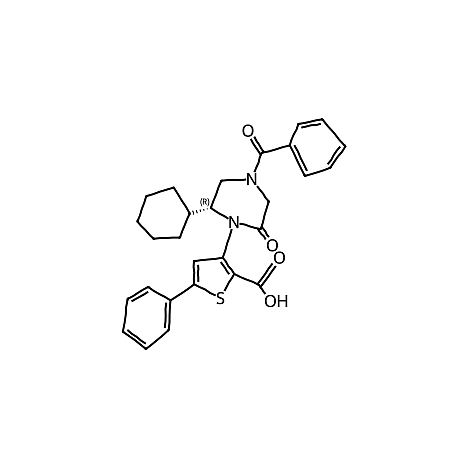 O=C(O)c1sc(-c2ccccc2)cc1N1C(=O)CN(C(=O)c2ccccc2)C[C@H]1C1CCCCC1